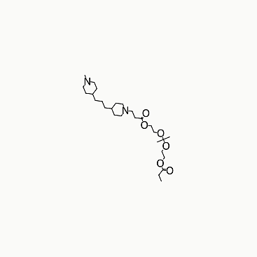 CCC(=O)OCCOC(C)(C)OCCOC(=O)CCN1CCC(CCCC2CCN(C)CC2)CC1